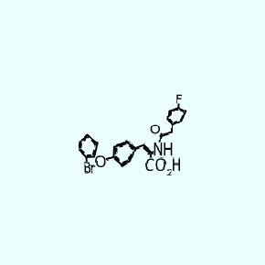 O=C(Cc1ccc(F)cc1)NC(=Cc1ccc(Oc2ccccc2Br)cc1)C(=O)O